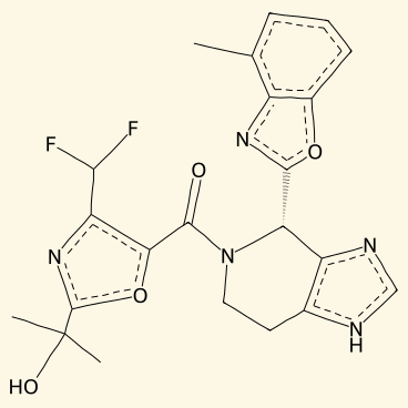 Cc1cccc2oc([C@@H]3c4nc[nH]c4CCN3C(=O)c3oc(C(C)(C)O)nc3C(F)F)nc12